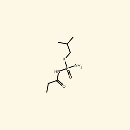 CCC(=O)NP(N)(=O)SCC(C)C